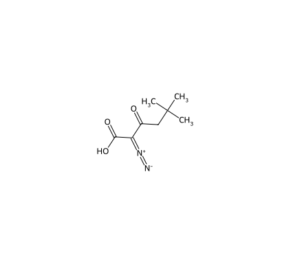 CC(C)(C)CC(=O)C(=[N+]=[N-])C(=O)O